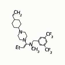 C=CC1CCC(N2CCN(/C(=C\CC)N(C)Cc3cc(C(F)(F)F)cc(C(F)(F)F)c3)CC2)CC1